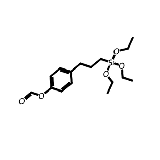 CCO[Si](CCCc1ccc(OC=O)cc1)(OCC)OCC